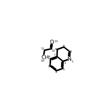 C1=Nc2ccccc2CC1.CCC=O